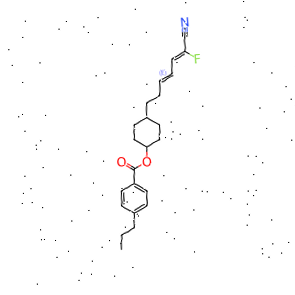 CCCc1ccc(C(=O)OC2CCC(CC/C=C/C=C(F)C#N)CC2)cc1